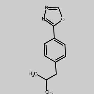 CC(C)Cc1ccc(-c2nn[c]o2)cc1